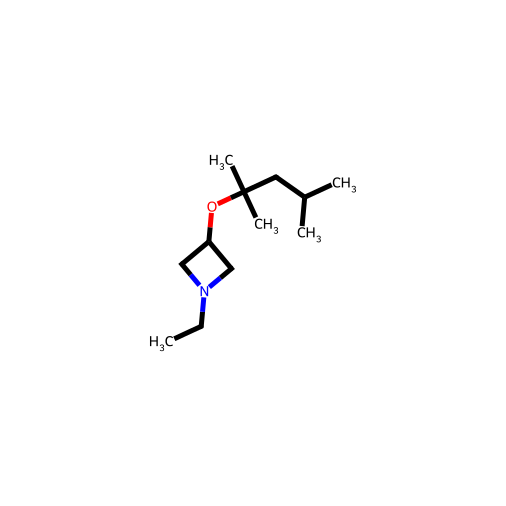 CCN1CC(OC(C)(C)CC(C)C)C1